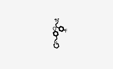 CN(C)CCC(Oc1ccc(CCN2CCCCC2)cc1)c1ccc(F)cc1